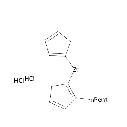 CCCCCC1=[C]([Zr][C]2=CC=CC2)CC=C1.Cl.Cl